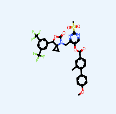 COc1ccc(-c2ccc(C(=O)Oc3cnc(S(C)(=O)=O)nc3CN3C(=O)OC(c4cc(C(F)(F)F)cc(C(F)(F)F)c4)C34CC4)cc2C)cc1